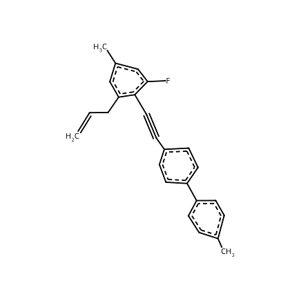 C=CCc1cc(C)cc(F)c1C#Cc1ccc(-c2ccc(C)cc2)cc1